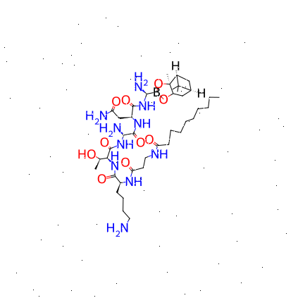 CCCCCCCCCC(=O)NCCC(=O)N[C@@H](CCCCN)C(=O)N[C@H](C(=O)N[C@@H](N)C(=O)N[C@@H](CC(N)=O)C(=O)N[C@@H](N)B1OC2C[C@@H]3C[C@@H](C3(C)C)[C@]2(C)O1)[C@@H](C)O